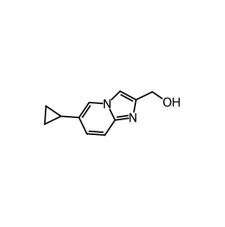 OCc1cn2cc(C3CC3)ccc2n1